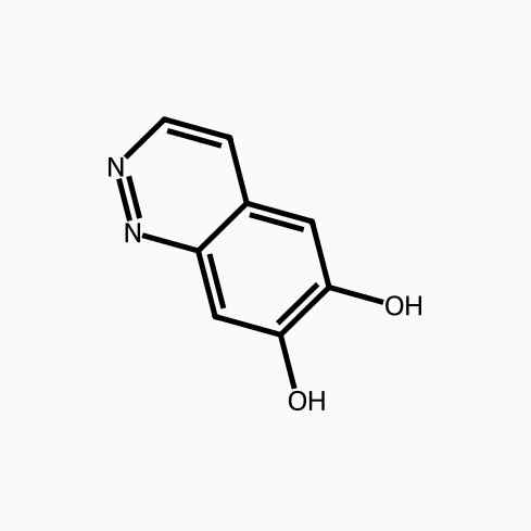 Oc1cc2ccnnc2cc1O